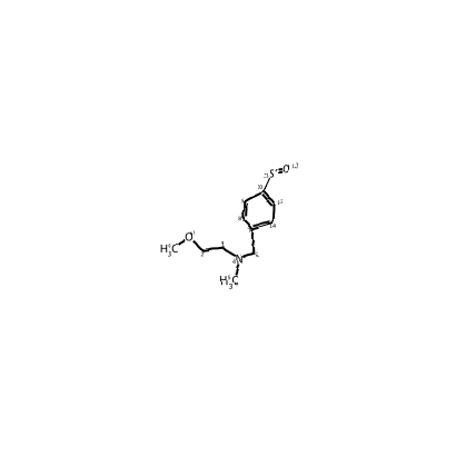 COCCN(C)Cc1ccc([S+]=O)cc1